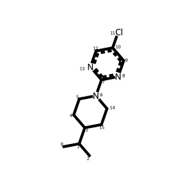 CC(C)C1CCN(c2ncc(Cl)cn2)CC1